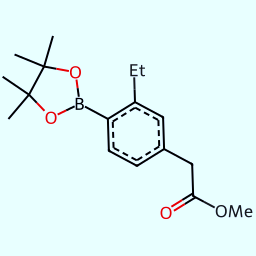 CCc1cc(CC(=O)OC)ccc1B1OC(C)(C)C(C)(C)O1